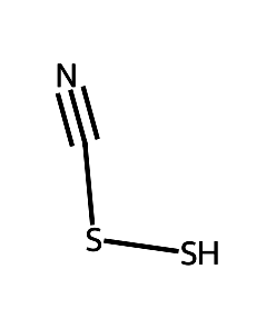 N#CSS